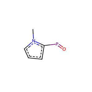 Cn1cccc1P=O